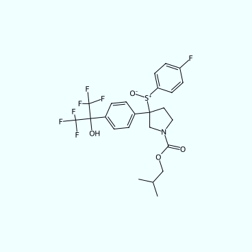 CC(C)COC(=O)N1CCC(c2ccc(C(O)(C(F)(F)F)C(F)(F)F)cc2)([S+]([O-])c2ccc(F)cc2)C1